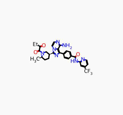 CCC(=O)C(=O)N1C[C@@H](c2nc(-c3ccc(C(=O)Nc4cc(C(F)(F)F)ccn4)cc3)c3c(N)nccn23)CC[C@H]1C